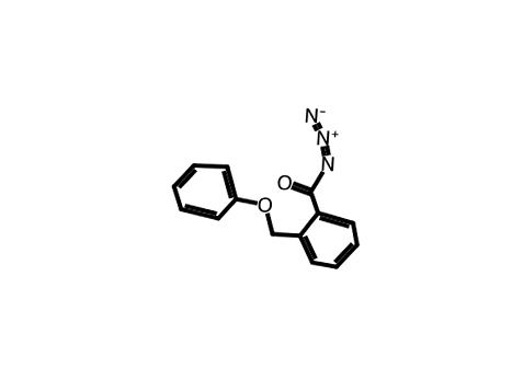 [N-]=[N+]=NC(=O)c1ccccc1COc1ccccc1